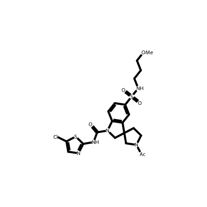 COCCCNS(=O)(=O)c1ccc2c(c1)C1(CCN(C(C)=O)C1)CN2C(=O)Nc1ncc(Cl)s1